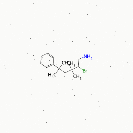 CC(C)(CC(C)(C)C(Br)CN)c1ccccc1